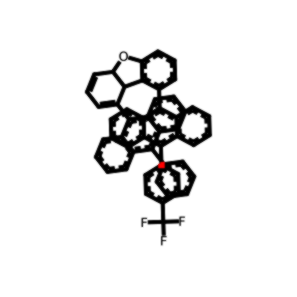 FC(F)(F)c1ccc(-c2c3ccccc3c(-c3cccc4c3C3C(c5c6ccccc6c(-c6ccccc6)c6ccccc56)=CC=CC3O4)c3ccccc23)cc1